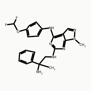 Cn1ncc2c(Nc3ccc(OC(F)F)cc3)nc(NCC(C)(N)c3ccccc3)nc21